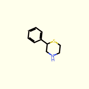 [c]1ccc(C2CNCCS2)cc1